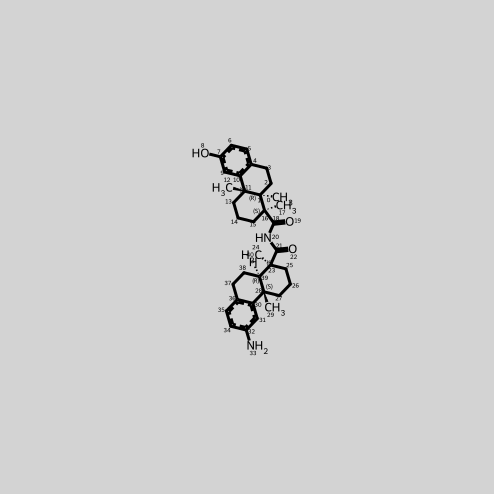 C[C@@]12CCc3ccc(O)cc3[C@@]1(C)CCC[C@]2(C)C(=O)NC(=O)[C@@]1(C)CCC[C@]2(C)c3cc(N)ccc3CC[C@@H]12